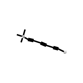 [Li][C]#CC#CC#C[Si](C)(C)C